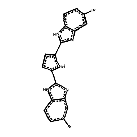 Brc1ccc2[nH]c(-c3ccc(-c4nc5cc(Br)ccc5[nH]4)[nH]3)nc2c1